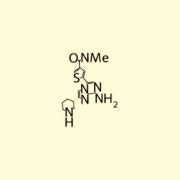 CNC(=O)c1csc(-c2cnc(N)c3nc([C@H]4CCCNC4)cn23)c1